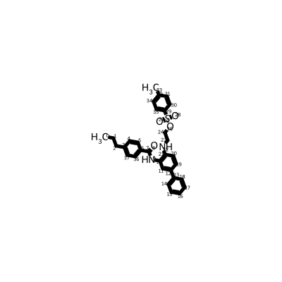 CCCc1ccc(C(=O)Nc2cc(-c3ccccc3)ccc2NCCOS(=O)(=O)c2ccc(C)cc2)cc1